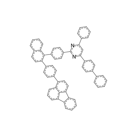 c1ccc(-c2ccc(-c3cc(-c4ccccc4)nc(-c4ccc(-c5c(-c6ccc(-c7ccc8c9c(cccc79)-c7ccccc7-8)cc6)ccc6ccccc56)cc4)n3)cc2)cc1